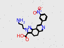 NCCCn1nc2c(c1C(=O)O)CCc1cnc(-c3cccc([N+](=O)[O-])c3)cc1-2